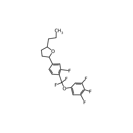 CCCC1CCC(c2ccc(C(F)(F)Oc3cc(F)c(F)c(F)c3)c(F)c2)O1